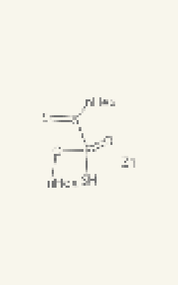 CCCCCCOP(=O)(S)S(=S)CCCCCC.[Zn]